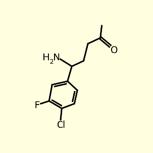 CC(=O)CCC(N)c1ccc(Cl)c(F)c1